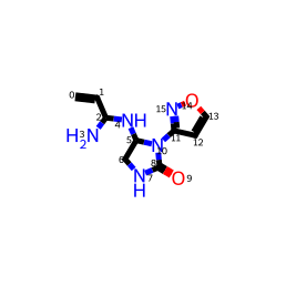 C=CC(N)NC1CNC(=O)N1c1ccon1